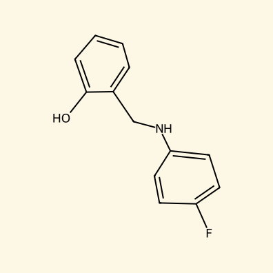 Oc1ccccc1CNc1ccc(F)cc1